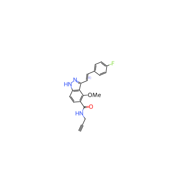 C#CCNC(=O)c1ccc2[nH]nc(/C=C/c3ccc(F)cc3)c2c1OC